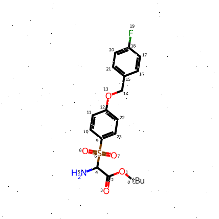 CC(C)(C)OC(=O)C(N)S(=O)(=O)c1ccc(OCc2ccc(F)cc2)cc1